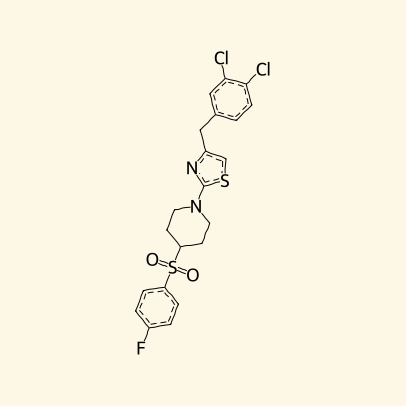 O=S(=O)(c1ccc(F)cc1)C1CCN(c2nc(Cc3ccc(Cl)c(Cl)c3)cs2)CC1